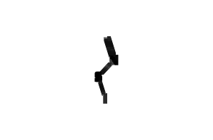 C=NSI